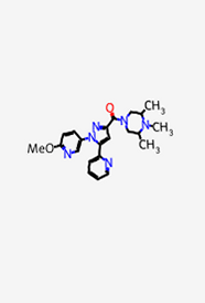 COc1ccc(-n2nc(C(=O)N3CC(C)N(C)C(C)C3)cc2-c2ccccn2)cn1